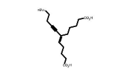 CCCCCCCCCCCCC#C/C(=C/CCCC(=O)O)CCCCC(=O)O